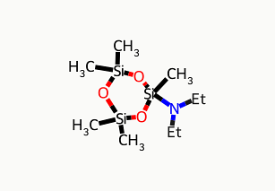 CCN(CC)[Si]1(C)O[Si](C)(C)O[Si](C)(C)O1